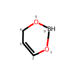 B1OC=CCO1